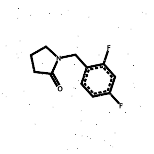 O=C1CCCN1Cc1ccc(F)cc1F